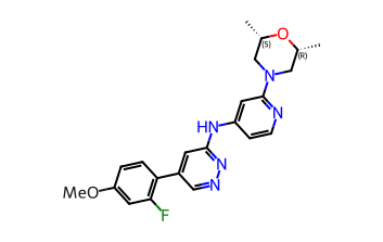 COc1ccc(-c2cnnc(Nc3ccnc(N4C[C@@H](C)O[C@@H](C)C4)c3)c2)c(F)c1